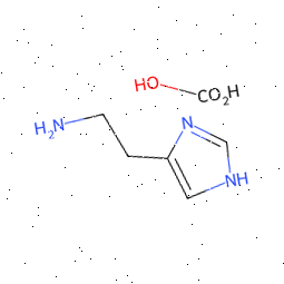 NCCc1c[nH]cn1.O=C(O)O